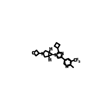 Cc1ncc(-c2cn([C@H]3[C@@H]4CN(C5COC5)C[C@@H]43)c(C3CCC3)n2)cc1C(F)(F)F